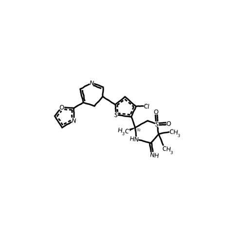 CC1(C)C(=N)N[C@](C)(c2sc(C3C=NC=C(c4ncco4)C3)cc2Cl)CS1(=O)=O